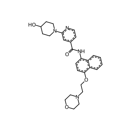 O=C(Nc1ccc(OCCN2CCOCC2)c2ccccc12)c1ccnc(N2CCC(O)CC2)c1